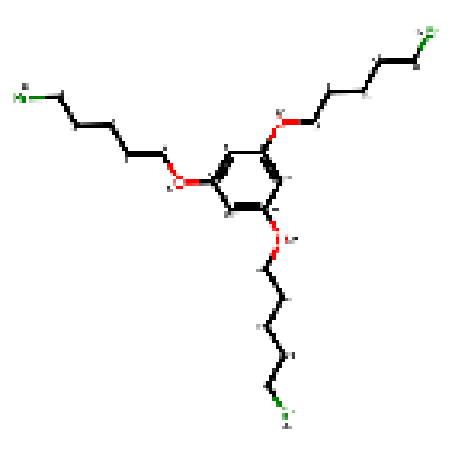 BrCCCCCOc1cc(OCCCCCBr)cc(OCCCCCBr)c1